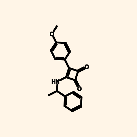 COc1ccc(-c2c(NC(C)c3ccccc3)c(=O)c2=O)cc1